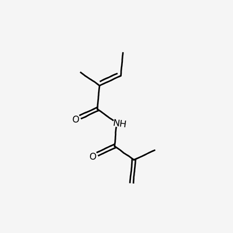 C=C(C)C(=O)NC(=O)C(C)=CC